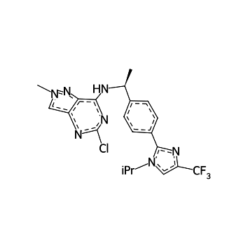 CC(C)n1cc(C(F)(F)F)nc1-c1ccc([C@H](C)Nc2nc(Cl)nc3cn(C)nc23)cc1